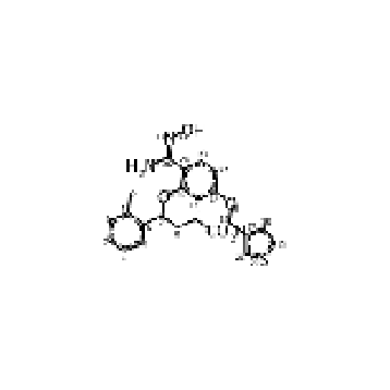 Cc1ccccc1C(CCC(=O)O)Oc1cc(OCc2ccsc2)ccc1/C(N)=N\O